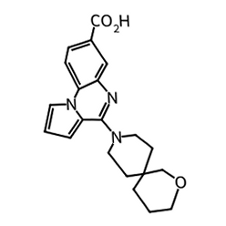 O=C(O)c1ccc2c(c1)nc(N1CCC3(CCCOC3)CC1)c1cccn12